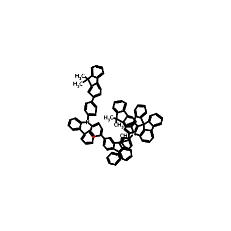 CC1(C)c2ccccc2-c2ccc(-c3ccc(N(c4ccc(-c5ccc6c(c5)C(C)(Cc5ccc7c(c5)C5(c8ccccc8-7)c7ccccc7-c7cccc(N(c8ccc(-c9ccccc9)cc8)c8ccc9c(c8)C(C)(C)c8ccccc8-9)c75)c5ccccc5-6)cc4)c4ccccc4-c4ccccc4)cc3)cc21